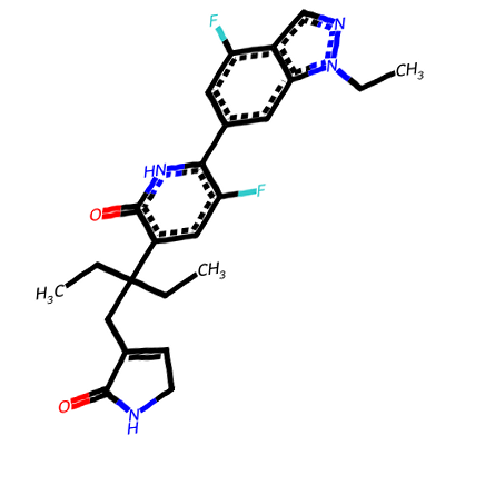 CCn1ncc2c(F)cc(-c3[nH]c(=O)c(C(CC)(CC)CC4=CCNC4=O)cc3F)cc21